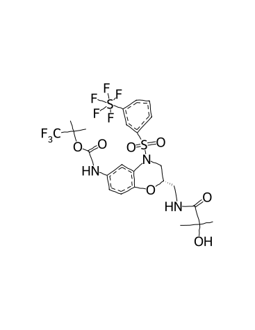 CC(C)(O)C(=O)NC[C@H]1CN(S(=O)(=O)c2cccc(S(F)(F)(F)(F)F)c2)c2cc(NC(=O)OC(C)(C)C(F)(F)F)ccc2O1